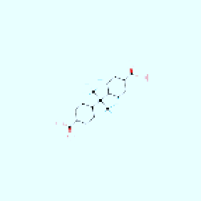 O=C(O)C1CCC(C(C2CCC(C(=O)O)CC2)(C(F)(F)F)C(F)(F)F)CC1